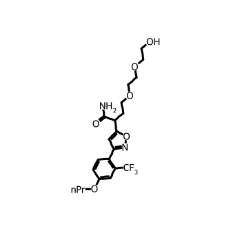 CCCOc1ccc(-c2cc(C(CCOCCOCCO)C(N)=O)on2)c(C(F)(F)F)c1